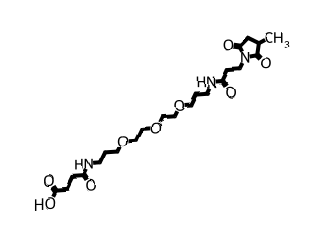 CC1CC(=O)N(CCC(=O)NCCCOCCOCCOCCCNC(=O)CCC(=O)O)C1=O